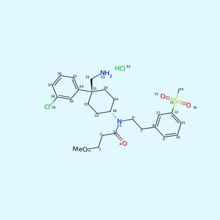 COCCC(=O)N(CCc1cccc(S(C)(=O)=O)c1)[C@H]1CC[C@@](CN)(c2cccc(Cl)c2)CC1.Cl